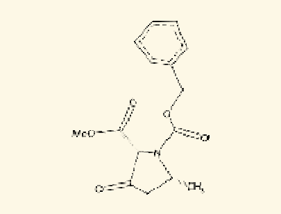 COC(=O)[C@H]1C(=O)C[C@@H](C)N1C(=O)OCc1ccccc1